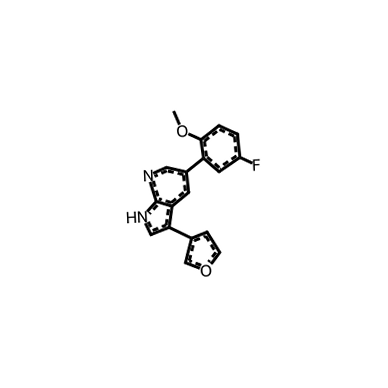 COc1ccc(F)cc1-c1cnc2[nH]cc(-c3ccoc3)c2c1